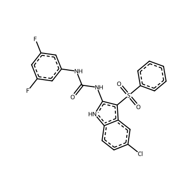 O=C(Nc1cc(F)cc(F)c1)Nc1[nH]c2ccc(Cl)cc2c1S(=O)(=O)c1ccccc1